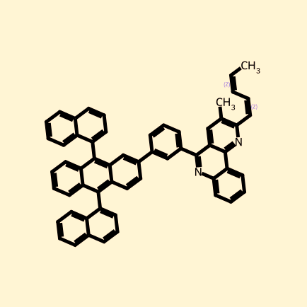 C/C=C\C=C/c1nc2c(cc1C)c(-c1cccc(-c3ccc4c(-c5cccc6ccccc56)c5ccccc5c(-c5cccc6ccccc56)c4c3)c1)nc1ccccc12